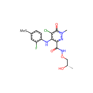 CSc1ccc(Nc2c(C(=O)NOC[C@H](C)O)nn(C)c(=O)c2Cl)c(F)c1